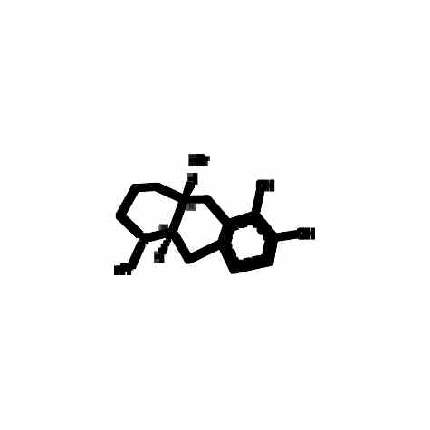 Br.CCCN1CCC[C@@H]2Cc3c(ccc(O)c3O)C[C@H]21